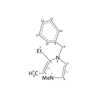 C/C=C(\CC)N(/C=C\NC)Cc1ccccc1